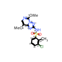 COc1cnc(OC)n2nc(NS(=O)(=O)c3cccc(Cl)c3C)nc12